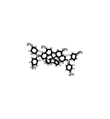 CC(C)c1ccc(N(c2ccc(C(C)C)cc2)c2ccc3c4c(cc(C(C)C)c3c2)-c2cc(C(C)C)c3cc(N(c5ccc(C(C)C)cc5)c5ccc(C(C)C)cc5)ccc3c2C42c3ccccc3-c3ccccc32)cc1